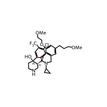 COCCCc1cc(CN(C(=O)[C@H]2CNCC[C@]2(O)c2ccc(Cl)c(C(F)(F)F)c2)C2CC2)cc(OCCOC)c1